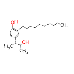 CCCCCCCCCCc1cc(C(C)C(C)O)ccc1O